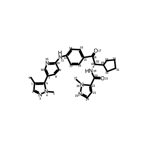 Cc1cnn(C)c1-c1ccc(Nc2ccc(C(=O)[C@@H](NC(=O)c3ccnn3C)C3CCCC3)cc2)nc1